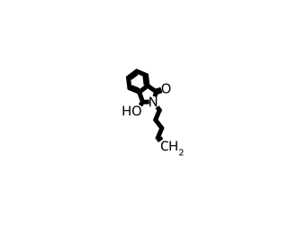 C=CCCCN1C(=O)c2ccccc2C1O